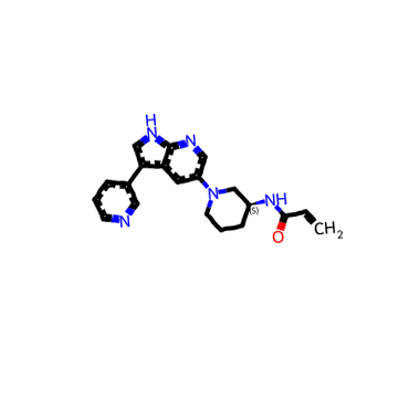 C=CC(=O)N[C@H]1CCCN(c2cnc3[nH]cc(-c4cccnc4)c3c2)C1